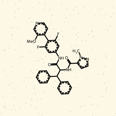 COc1cnccc1-c1c(F)cc(NC(=O)C(NC(=O)c2ccnn2C)C(c2ccccc2)c2ccccc2)cc1F